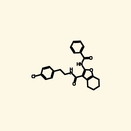 O=C(Nc1oc2c(c1C(=O)NCCc1ccc(Cl)cc1)CCCC2)c1ccccc1